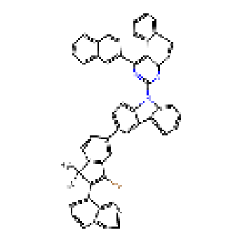 CC1(C)C(c2cccc3ccccc23)=C(Br)c2cc(-c3ccc4c(c3)c3ccccc3n4-c3nc(-c4ccc5ccccc5c4)c4c(ccc5ccccc54)n3)ccc21